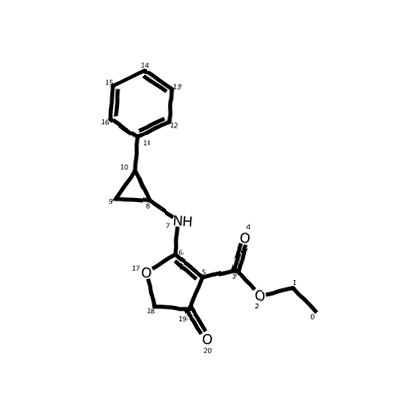 CCOC(=O)C1=C(NC2CC2c2ccccc2)OCC1=O